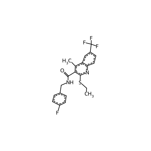 CCSc1nc2ccc(C(F)(F)F)cc2c(C)c1C(=O)NCc1ccc(F)cc1